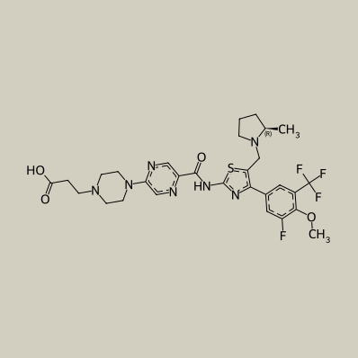 COc1c(F)cc(-c2nc(NC(=O)c3cnc(N4CCN(CCC(=O)O)CC4)cn3)sc2CN2CCC[C@H]2C)cc1C(F)(F)F